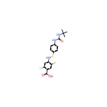 CC(C)(C)NC(=O)Nc1ccc(SNc2cc(F)c(C(=O)O)cc2F)cc1